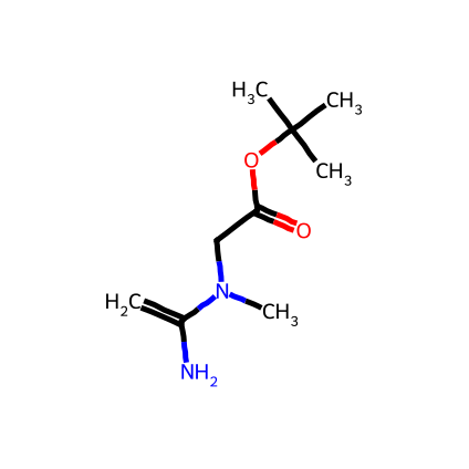 C=C(N)N(C)CC(=O)OC(C)(C)C